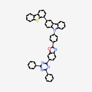 c1ccc(-c2nc(-c3ccccc3)nc(-c3ccc4nc(-c5ccc(-n6c7ccccc7c7cc(-c8cccc9c8sc8ccccc89)ccc76)cc5)oc4c3)n2)cc1